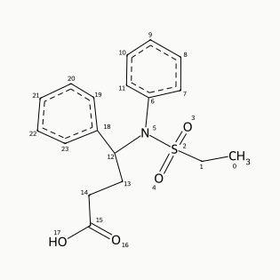 CCS(=O)(=O)N(c1ccccc1)C(CCC(=O)O)c1ccccc1